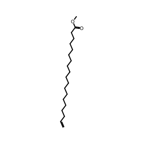 C=CCCCCCCCCCCCCCCCCC(=O)OC